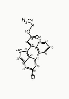 CCOC(=O)/C=C(\c1ccccc1)c1scc2cc(Cl)ccc12